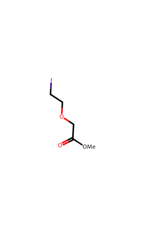 COC(=O)COCCI